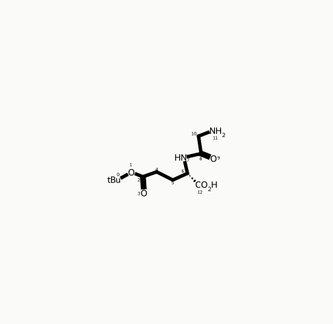 CC(C)(C)OC(=O)CC[C@H](NC(=O)CN)C(=O)O